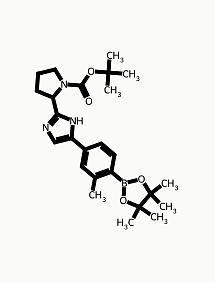 Cc1cc(-c2cnc(C3CCCN3C(=O)OC(C)(C)C)[nH]2)ccc1B1OC(C)(C)C(C)(C)O1